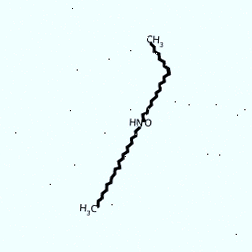 CCCCCCCC/C=C\CCCCCCCCCCCC(=O)NCCCCCCCCCCCCCCCCCCCCCC